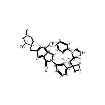 CC(C)[C@H]1CN(C)CCN1Cc1cc2c(c(C(F)(F)F)c1)CN(c1cccc(C3([C@H](F)c4nncn4-c4ccccc4)COC3)c1)C2=O